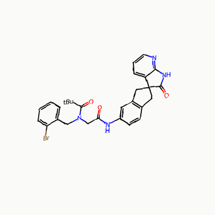 CC(C)(C)C(=O)N(CC(=O)Nc1ccc2c(c1)CC1(C2)C(=O)Nc2ncccc21)Cc1ccccc1Br